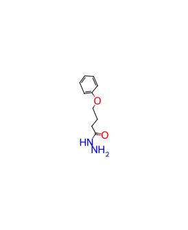 NNC(=O)CCCOc1ccccc1